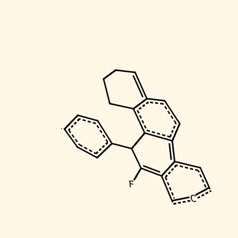 FC1=c2ccccc2=c2ccc3c(c2C1c1cc[c]cc1)CCCC=3